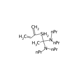 C=CC(=C)[SiH2]C(C)(N(CCC)CCC)N(CCC)CCC